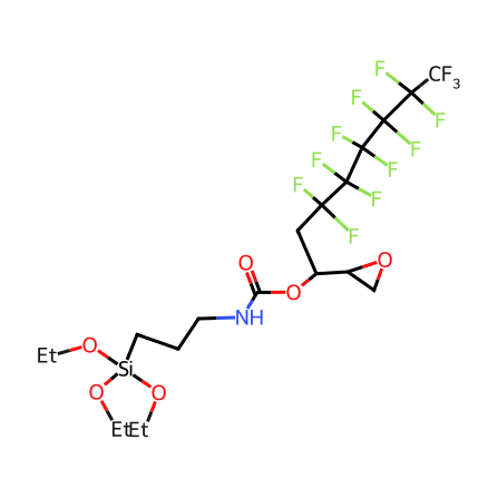 CCO[Si](CCCNC(=O)OC(CC(F)(F)C(F)(F)C(F)(F)C(F)(F)C(F)(F)C(F)(F)F)C1CO1)(OCC)OCC